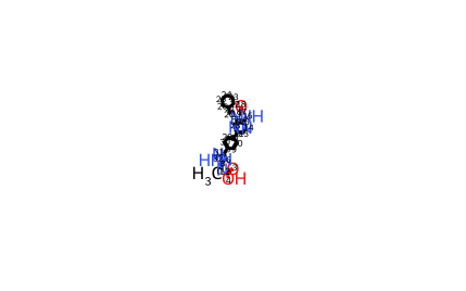 CN(C(=O)O)c1nc(-c2ccc(-c3cnc4[nH]c(=O)n(CC5CCCCC5)c4n3)cc2)n[nH]1